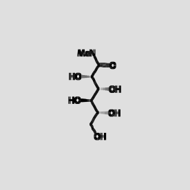 CNC(=O)[C@@H](O)[C@H](O)[C@H](O)[C@H](O)CO